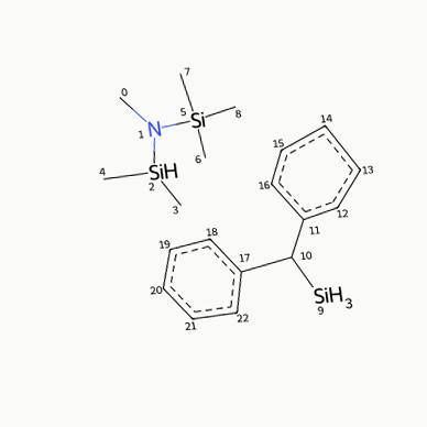 CN([SiH](C)C)[Si](C)(C)C.[SiH3]C(c1ccccc1)c1ccccc1